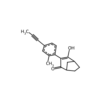 CC#Cc1ccc(C2=C(O)C3CCC(C3)C2=O)c(C)c1